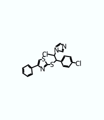 Clc1ccc(C(Sc2nc(-c3ccccc3)cs2)C(Cl)n2ccnc2)cc1